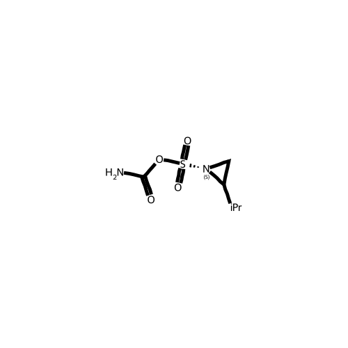 CC(C)C1C[N@@]1S(=O)(=O)OC(N)=O